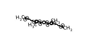 C=CC(=O)OCCCCOc1ccc(OC(=O)C2CCC(OC(=O)c3ccc(OCCCCOC(=O)C=C)c(C)c3)CC2)cc1C